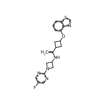 C=C(NC1CN(c2ncc(F)cn2)C1)C1CC(Oc2cccc3scnc23)C1